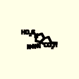 C=CC[C@@H]1CN(C(=O)O)C[C@]1(N=[N+]=[N-])C(=O)O